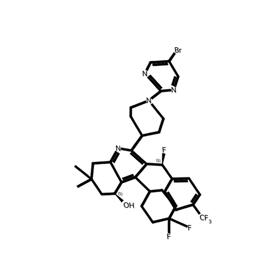 CC1(C)Cc2nc(C3CCN(c4ncc(Br)cn4)CC3)c([C@@H](F)c3ccc(C(F)(F)F)cc3)c(C3CCC(F)(F)CC3)c2[C@@H](O)C1